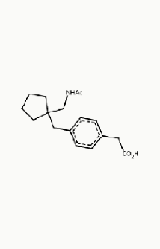 CC(=O)NCC1(Cc2ccc(CC(=O)O)cc2)CCCC1